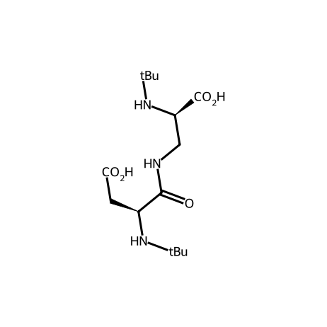 CC(C)(C)N[C@@H](CC(=O)O)C(=O)NC[C@@H](NC(C)(C)C)C(=O)O